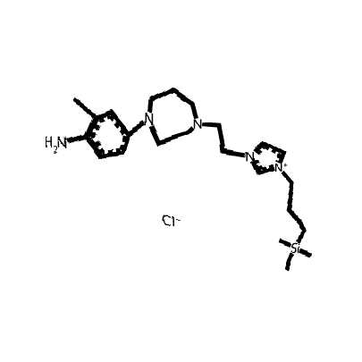 Cc1cc(N2CCCN(CCn3cc[n+](CCC[Si](C)(C)C)c3)CC2)ccc1N.[Cl-]